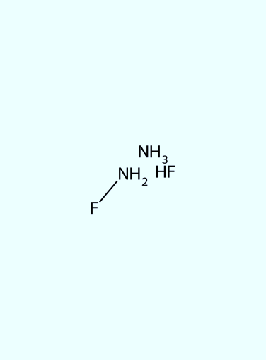 F.N.NF